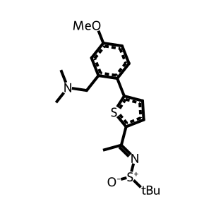 COc1ccc(-c2ccc(C(C)=N[S+]([O-])C(C)(C)C)s2)c(CN(C)C)c1